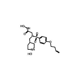 C=CCCOc1ccc(S(=O)(=O)N(CC(=O)NO)CC2CCNCC2)cc1.Cl